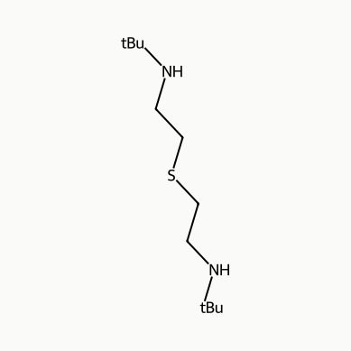 CC(C)(C)NCCSCCNC(C)(C)C